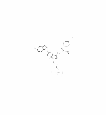 C[Si](C)(C)CCOCn1cc(C(=O)N[C@@H](C(=O)N2CCC(C#N)CC2)C2CC2)c2nc(-n3ncc4cc(Cl)ccc43)cnc21